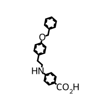 O=C(O)c1ccc(NCCc2ccc(OCc3ccccc3)cc2)cc1